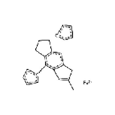 CC1=Cc2c(cc3c(c2-[c-]2cccc2)CCC3)C1.[Fe+2].c1cc[cH-]c1